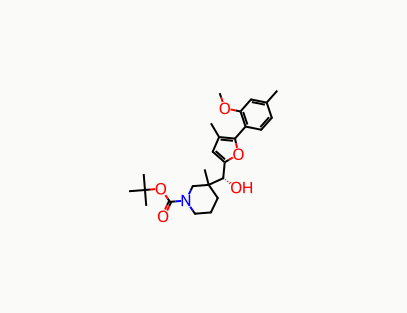 COc1cc(C)ccc1-c1oc([C@H](O)C2(C)CCCN(C(=O)OC(C)(C)C)C2)cc1C